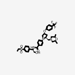 CCS(=O)(=O)c1ccc([C@H](CO)NC(=O)c2ccc(N3C[C@H](Oc4ccc(C(F)(F)F)cc4)C[C@H]3CN3CC(C)OC(C)C3)cc2)cc1